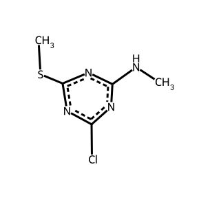 CNc1nc(Cl)nc(SC)n1